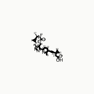 Cc1nc(-c2nnn(C)c2COC(=O)N(C)[C@H](C)C2CC2)ccc1C#CC1(CC(=O)O)CC1